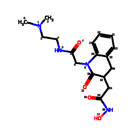 CN(C)CCNC(=O)CN1C(=O)C(CC(=O)NO)Cc2ccccc21